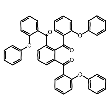 O=C(c1ccccc1Oc1ccccc1)c1cccc(C(=O)c2ccccc2Oc2ccccc2)c1C(=O)c1ccccc1Oc1ccccc1